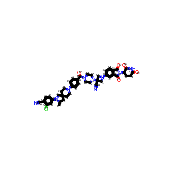 CC1CC2(CCN(c3ccc(C(=O)N4CCN(C5(C#N)CN(c6ccc7c(c6)C(=O)N(C6CCC(=O)NC6=O)C7=O)C5)CC4)cc3)CC2)CN1c1ccc(C#N)c(Cl)c1